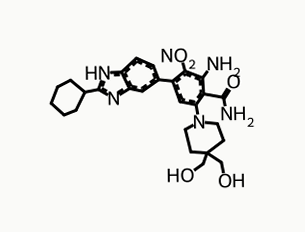 NC(=O)c1c(N2CCC(CO)(CO)CC2)cc(-c2ccc3[nH]c(C4CCCCC4)nc3c2)c([N+](=O)[O-])c1N